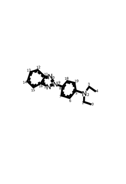 CCN(CC)c1ccc(-n2nc3ccccc3n2)cc1